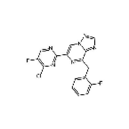 Fc1ccccc1Cc1nc(-c2ncc(F)c(Cl)n2)cn2ncnc12